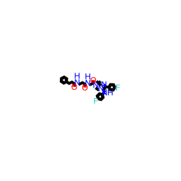 CC1(C)c2nc(-c3ccc(F)cc3)c(Nc3ccc(F)cc3)n2CCN1C(=O)CNC(=O)CCNC(=O)CCc1ccccc1